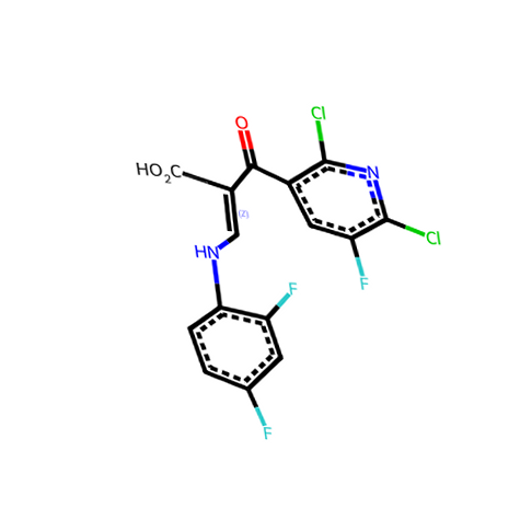 O=C(O)/C(=C\Nc1ccc(F)cc1F)C(=O)c1cc(F)c(Cl)nc1Cl